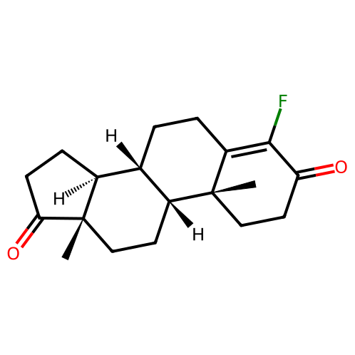 C[C@]12CCC(=O)C(F)=C1CC[C@@H]1[C@H]2CC[C@]2(C)C(=O)CC[C@@H]12